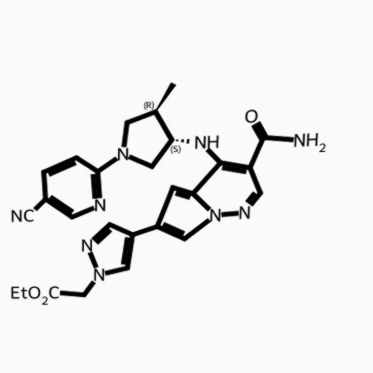 CCOC(=O)Cn1cc(-c2cc3c(N[C@@H]4CN(c5ccc(C#N)cn5)C[C@H]4C)c(C(N)=O)cnn3c2)cn1